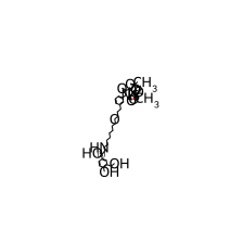 CC(=O)O[N+]1(S(C)(=O)=O)CC(=O)N(c2cccc(CCCOCCCCCCCNC[C@@H](O)c3ccc(O)c(CO)c3)c2)C1=O